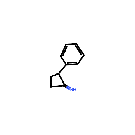 N=C1CCC1c1ccccc1